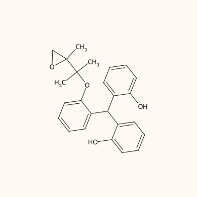 CC(C)(Oc1ccccc1C(c1ccccc1O)c1ccccc1O)C1(C)CO1